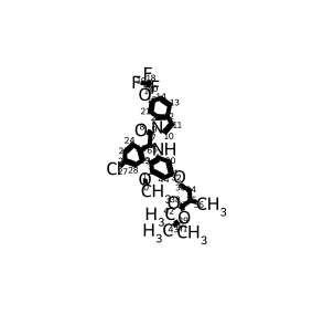 COc1cc(NC(C(=O)n2ccc3ccc(OC(F)(F)F)cc32)c2ccc(Cl)cc2)cc(OCCC(C)C(=O)OC(C)(C)C)c1